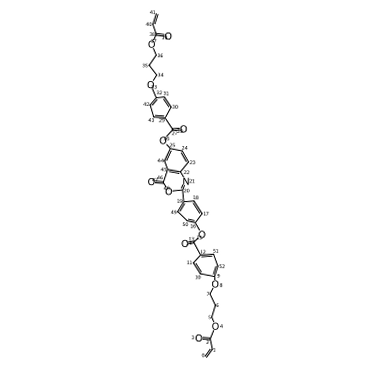 C=CC(=O)OCCCOc1ccc(C(=O)Oc2ccc(-c3nc4ccc(OC(=O)c5ccc(OCCCOC(=O)C=C)cc5)cc4c(=O)o3)cc2)cc1